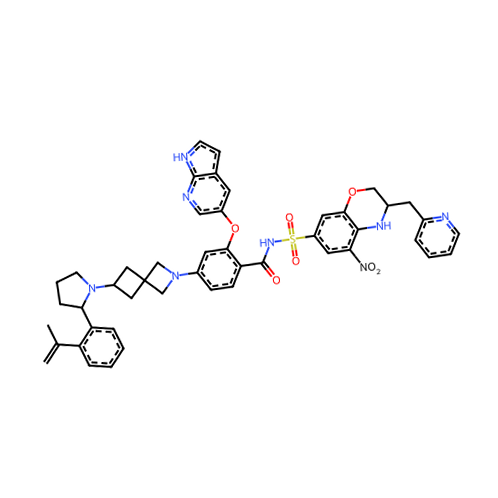 C=C(C)c1ccccc1C1CCCN1C1CC2(C1)CN(c1ccc(C(=O)NS(=O)(=O)c3cc4c(c([N+](=O)[O-])c3)NC(Cc3ccccn3)CO4)c(Oc3cnc4[nH]ccc4c3)c1)C2